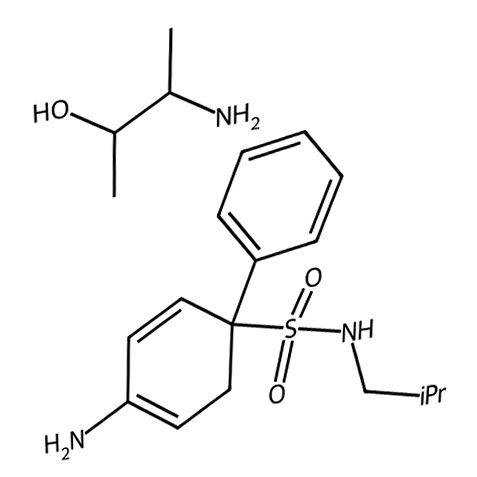 CC(C)CNS(=O)(=O)C1(c2ccccc2)C=CC(N)=CC1.CC(N)C(C)O